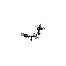 CC(C)N(CCNCCc1ccc(O)c2[nH]c(=O)sc12)C(=O)CCNCCc1ccc(Cl)cc1